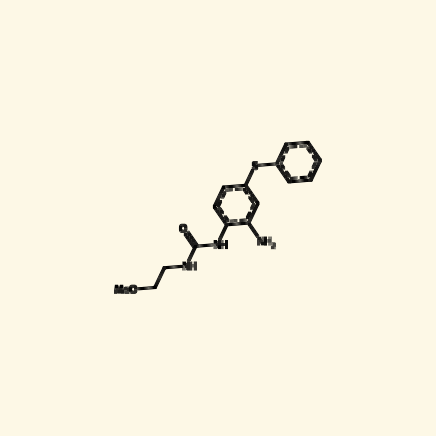 COCCNC(=O)Nc1ccc(Sc2ccccc2)cc1N